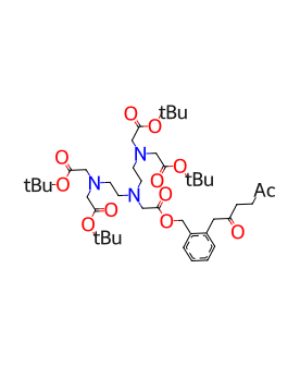 CC(=O)CCC(=O)Cc1ccccc1COC(=O)CN(CCN(CC(=O)OC(C)(C)C)CC(=O)OC(C)(C)C)CCN(CC(=O)OC(C)(C)C)CC(=O)OC(C)(C)C